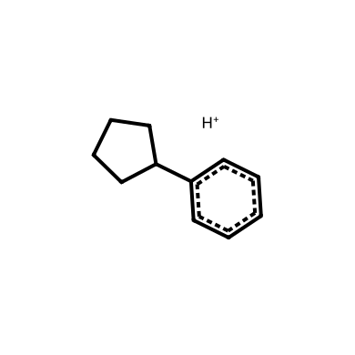 [H+].c1ccc(C2CCCC2)cc1